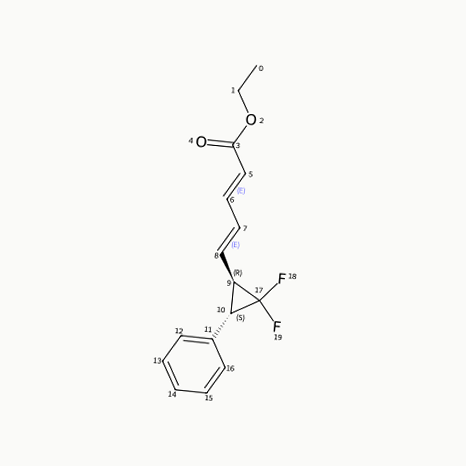 CCOC(=O)/C=C/C=C/[C@@H]1[C@@H](c2ccccc2)C1(F)F